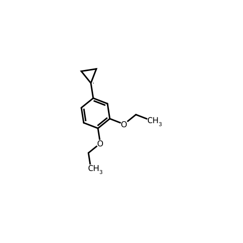 CCOc1ccc([C]2CC2)cc1OCC